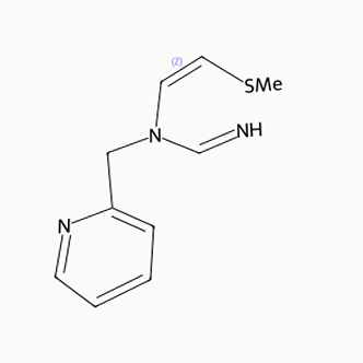 CS/C=C\N(C=N)Cc1ccccn1